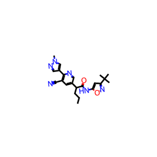 CCCC(C(=O)Nc1cc(C(C)(C)C)no1)c1cnc(-c2cnn(C)c2)c(C#N)c1